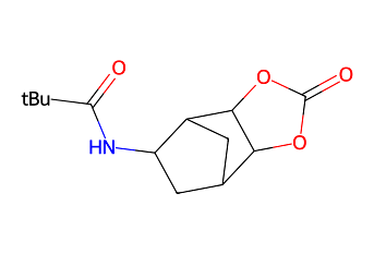 CC(C)(C)C(=O)NC1CC2CC1C1OC(=O)OC21